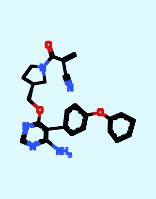 C=C(C#N)C(=O)N1CC[C@H](COc2ncnc(N)c2-c2ccc(Oc3ccccc3)cc2)C1